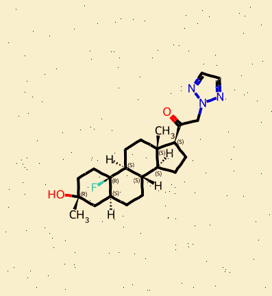 C[C@@]1(O)CC[C@@]2(F)[C@@H](CC[C@H]3[C@@H]4CC[C@H](C(=O)Cn5nccn5)[C@@]4(C)CC[C@@H]32)C1